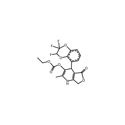 CCOC(=O)OC1=C(C)NC2=C(C(=O)OC2)C1c1cccc2c1OC(F)C(F)(F)O2